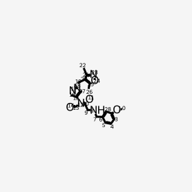 COc1cccc(CNCC(=O)N(C=O)c2cnn(Cc3c(C)noc3C)c2)c1